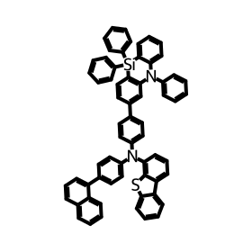 c1ccc(N2c3ccccc3[Si](c3ccccc3)(c3ccccc3)c3ccc(-c4ccc(N(c5ccc(-c6cccc7ccccc67)cc5)c5cccc6c5sc5ccccc56)cc4)cc32)cc1